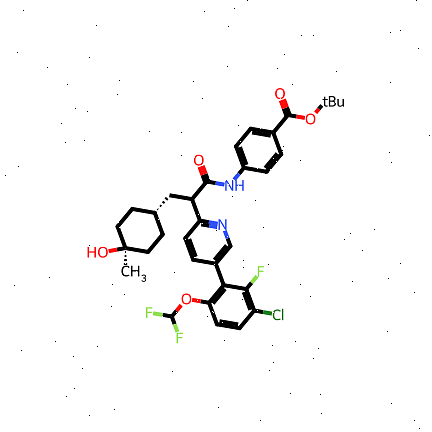 CC(C)(C)OC(=O)c1ccc(NC(=O)C(C[C@H]2CC[C@](C)(O)CC2)c2ccc(-c3c(OC(F)F)ccc(Cl)c3F)cn2)cc1